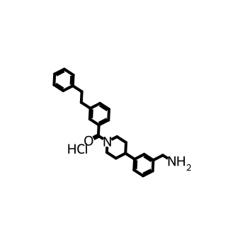 Cl.NCc1cccc(C2CCN(C(=O)c3cccc(CCc4ccccc4)c3)CC2)c1